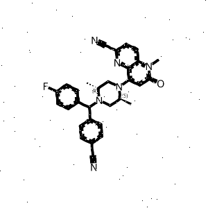 C[C@@H]1CN(c2cc(=O)n(C)c3ccc(C#N)nc23)[C@@H](C)CN1C(c1ccc(F)cc1)c1ccc(C#N)cc1